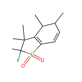 CC1C=CC2=C(C1C)C(C)(C)C(C)(F)S2(=O)=O